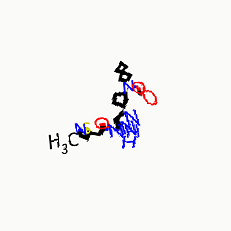 Cc1cc(CC(=O)Nc2cc([C@@H]3CC[C@H](N(OC=O)C4CC5(CCC5)C4)C3)n[nH]2)sn1